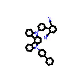 N#Cc1cccc(C#N)c1-c1cccc(-n2c3ccccc3c3c4c5ccccc5n(-c5ccc(-c6ccccc6)cc5)c4ccc32)c1